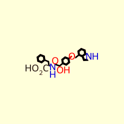 O=C(O)C(Cc1ccccc1)NC(=O)C(O)c1ccc(OCc2cccc3[nH]ccc23)cc1